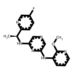 COc1ncccc1Nc1cncc(N[C@@H](C)c2ccc(F)cn2)n1